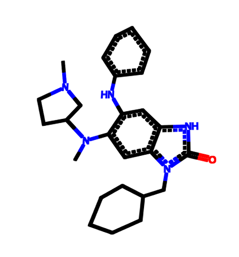 CN1CCC(N(C)c2cc3c(cc2Nc2ccccc2)[nH]c(=O)n3CC2CCCCC2)C1